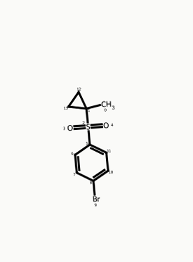 CC1(S(=O)(=O)c2ccc(Br)cc2)CC1